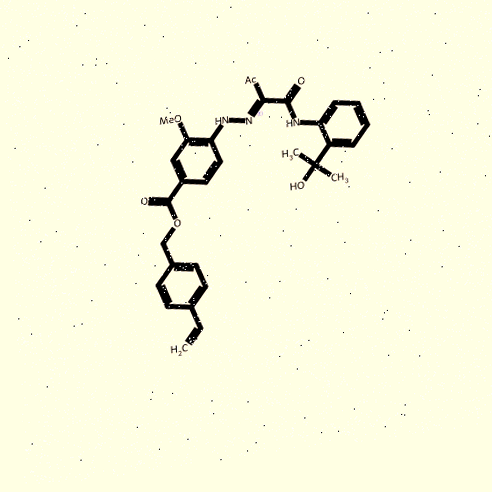 C=Cc1ccc(COC(=O)c2ccc(N/N=C(\C(C)=O)C(=O)Nc3ccccc3C(C)(C)O)c(OC)c2)cc1